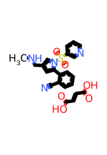 CNCc1cc(-c2ccccc2C#N)n(S(=O)(=O)c2cccnc2)c1.O=C(O)C=CC(=O)O